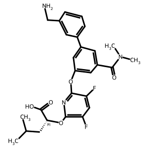 CC(C)C[C@@H](Oc1nc(Oc2cc(C(=O)N(C)C)cc(-c3cccc(CN)c3)c2)c(F)cc1F)C(=O)O